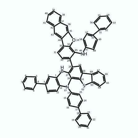 B1c2cc(-c3ccccc3)ccc2N(c2ccc(-c3ccccc3)cc2)c2c1c(-c1ccc3c(oc4cc5ccccc5cc43)c1Nc1ccc(-c3ccccc3)cc1)cc1c2sc2ccccc21